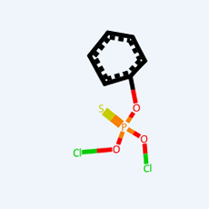 S=P(OCl)(OCl)Oc1ccccc1